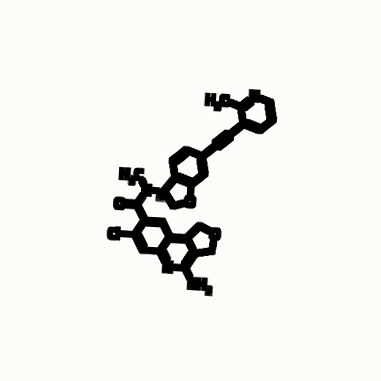 Cc1ncccc1C#Cc1ccc2c(c1)OC[C@H]2N(C)C(=O)c1cc2c3c(c(N)nc2cc1Cl)COC3